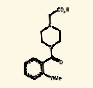 COc1ccccc1C(=O)N1CCN(CC(=O)O)CC1